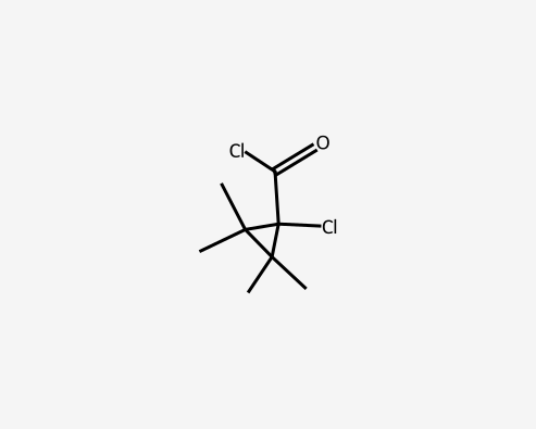 CC1(C)C(C)(C)C1(Cl)C(=O)Cl